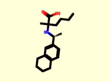 CCCCC(C)(N[C@H](C)c1ccc2c(c1)CCCC2)C(=O)O